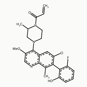 C=CC(=O)N1CCN(c2c(OC)cnc3c(C)c(-c4c(O)cccc4F)c(Cl)cc23)CC1C